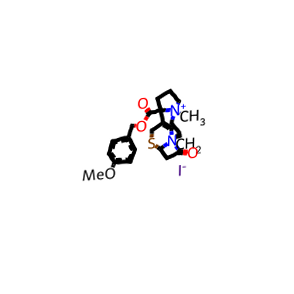 C=CC[N+]1(C)CCCC1(C(=O)OCc1ccc(OC)cc1)C1=CN2C(=O)CC2SC1.[I-]